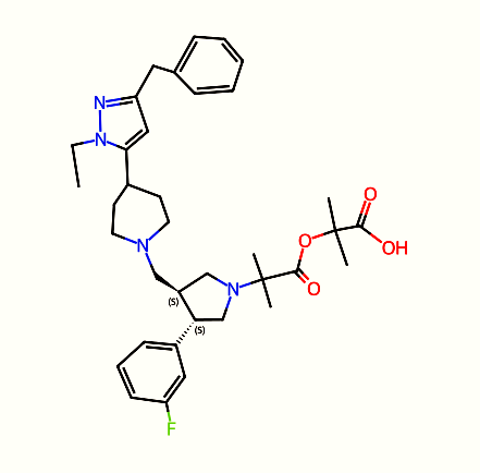 CCn1nc(Cc2ccccc2)cc1C1CCN(C[C@H]2CN(C(C)(C)C(=O)OC(C)(C)C(=O)O)C[C@@H]2c2cccc(F)c2)CC1